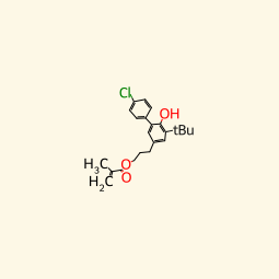 C=C(C)C(=O)OCCCc1cc(-c2ccc(Cl)cc2)c(O)c(C(C)(C)C)c1